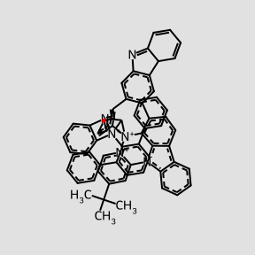 CC(C)(C)c1cc[n+]2c(c1)-n1c3ccccc3c3ccc4c(c31)[N+]21c2c(cccc2[N+]23c5ccccc5[N+]2(c2c(-c5ccccc5)cccc2-c2ccccc2)C13)-c1cc2c(cc1-4)C1C=CC=CC1=N2